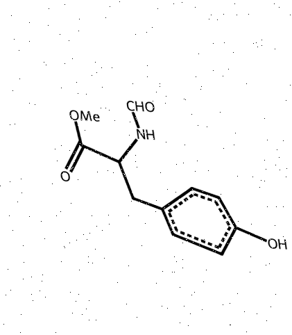 COC(=O)C(Cc1ccc(O)cc1)NC=O